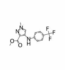 COC(=O)c1nn(C)cc1Nc1ccc(C(F)(F)F)cc1